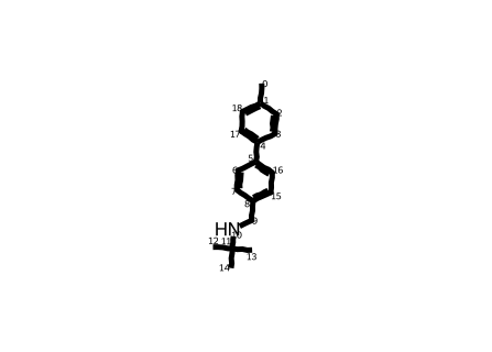 Cc1ccc(-c2ccc(CNC(C)(C)C)cc2)cc1